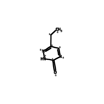 CCc1cnc(=O)[nH]n1